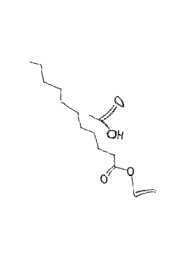 C=COC(=O)CCCCCCCCCC.CC(=O)O